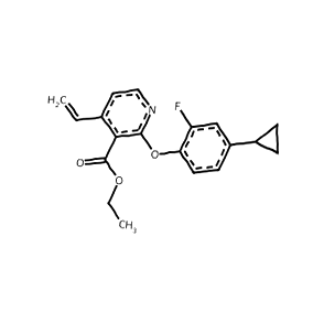 C=Cc1ccnc(Oc2ccc(C3CC3)cc2F)c1C(=O)OCC